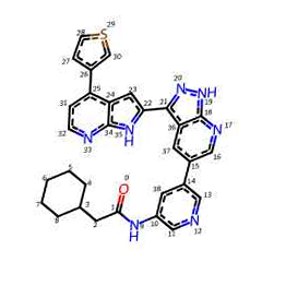 O=C(CC1CCCCC1)Nc1cncc(-c2cnc3[nH]nc(-c4cc5c(-c6ccsc6)ccnc5[nH]4)c3c2)c1